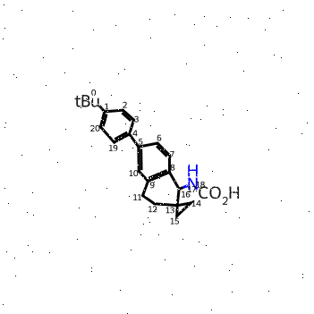 CC(C)(C)c1ccc(-c2ccc3c(c2)CCC2(CC2)C3NC(=O)O)cc1